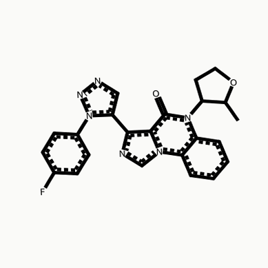 CC1OCCC1n1c(=O)c2c(-c3cnnn3-c3ccc(F)cc3)ncn2c2ccccc21